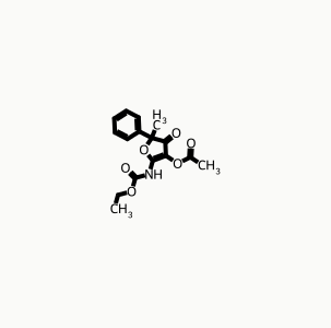 CCOC(=O)NC1=C(OC(C)=O)C(=O)C(C)(c2ccccc2)O1